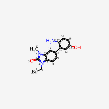 Cn1c(=O)n(CC(C)(C)C)c2ccc(-c3cc(O)ccc3N)cc21